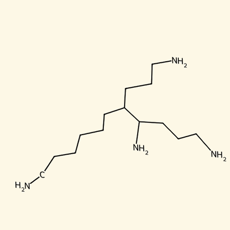 NCCCCCCC(CCCN)C(N)CCCN